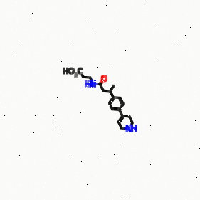 CC(CC(=O)NCCC(=O)O)c1ccc(C2=CCNCC2)cc1